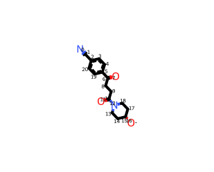 N#Cc1ccc(C(=O)CCC(=O)N2CCC([O])CC2)cc1